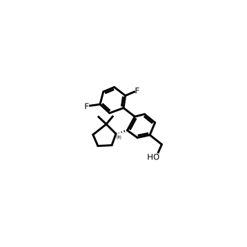 CC1(C)CCC[C@H]1c1cc(CO)ccc1-c1cc(F)ccc1F